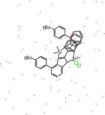 CC(C)(C)c1ccc(-c2cccc3c2C2=C(c4ccccc4)[CH]3[Zr+2][CH]3C(c4ccccc4)=C(c4c(-c5ccc(C(C)(C)C)cc5)cccc43)[Si]2(C)C)cc1.[Cl-].[Cl-]